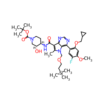 COc1cc(OCC2CC2)c(-c2ncnc3c(C(=O)N[C@@H]4CCN(C(=O)OC(C)(C)C)C[C@H]4O)c(C)n(COCC[Si](C)(C)C)c23)cc1F